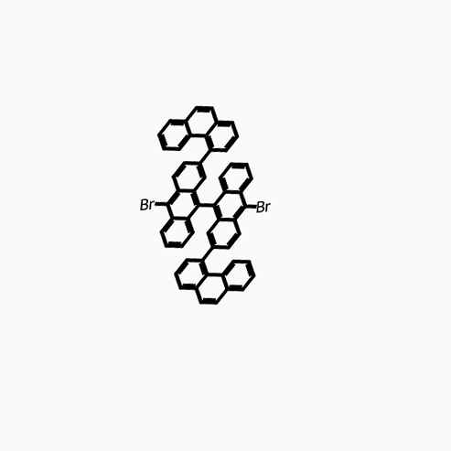 Brc1c2ccccc2c(-c2c3ccccc3c(Br)c3ccc(-c4cccc5ccc6ccccc6c45)cc23)c2cc(-c3cccc4ccc5ccccc5c34)ccc12